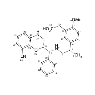 COc1ccc([C@H](C)CN[C@H](c2ccccc2)[C@H]2CNc3cccc(C#N)c3O2)cc1CC(=O)O